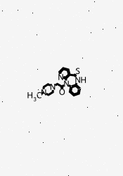 CN1CCN(CC(=O)N2c3ccccc3NC(=S)c3cccnc32)CC1